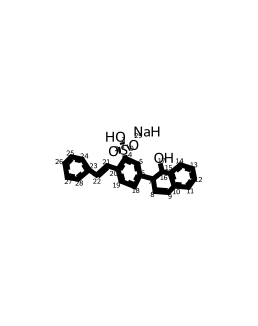 O=S(=O)(O)c1cc(C2C=Cc3ccccc3C2O)ccc1C=Cc1ccccc1.[NaH]